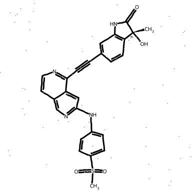 C[C@]1(O)C(=O)Nc2cc(C#Cc3nccc4cnc(Nc5ccc(S(C)(=O)=O)cc5)cc34)ccc21